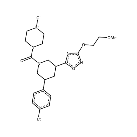 CCc1ccc(C2CC(c3nc(OCCOC)no3)CN(C(=O)N3CC[S+]([O-])CC3)C2)cc1